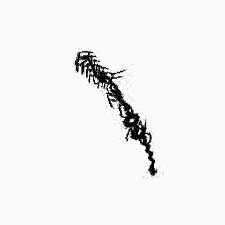 CCCCCCCCOc1cnc(-c2ccc(OCC(F)COCC(F)(F)OC(F)(F)C(F)(F)OC(F)(F)C(F)(F)C(F)(F)C(F)(F)F)cc2)nc1